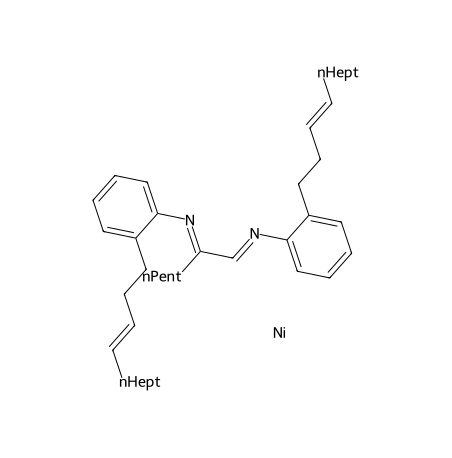 CCCCCCCC=CCCc1ccccc1N=CC(CCCCC)=Nc1ccccc1CCC=CCCCCCCC.[Ni]